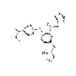 CC(c1ccc(Sc2ccc(Sc3nnc[nH]3)nc2C(=O)Nc2nccs2)cc1)N(C)C